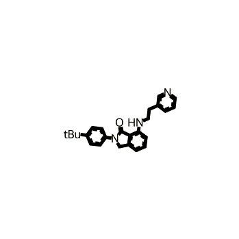 CC(C)(C)c1ccc(N2Cc3cccc(NCCc4cccnc4)c3C2=O)cc1